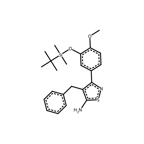 COc1ccc(-c2nsc(N)c2Cc2ccccc2)cc1O[Si](C)(C)C(C)(C)C